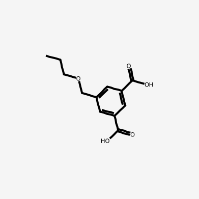 CCCOCc1cc(C(=O)O)cc(C(=O)O)c1